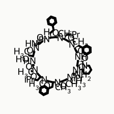 CC(C)CC1C(=O)N(C)C(=O)N[C@@H]([C@@H](C)O)C(=O)N2N[C@]2(C(C)C)C(=O)N[C@@H](CCc2ccccc2)C(=O)N(C)[C@@H](CC(C)C)C(=O)N(C)[C@@H](Cc2ccccc2)C(=O)N[C@H](C(=O)N2CCCCC2)C(=O)N[C@@](N)(C(C)C)N(C)[C@@H](C)C(=O)N(C)C(Cc2ccccc2)C(=O)N1C